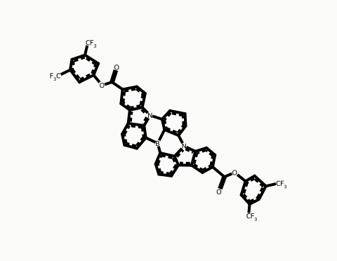 O=C(Oc1cc(C(F)(F)F)cc(C(F)(F)F)c1)c1ccc2c(c1)c1cccc3c1n2-c1cccc2c1B3c1cccc3c4cc(C(=O)Oc5cc(C(F)(F)F)cc(C(F)(F)F)c5)ccc4n-2c13